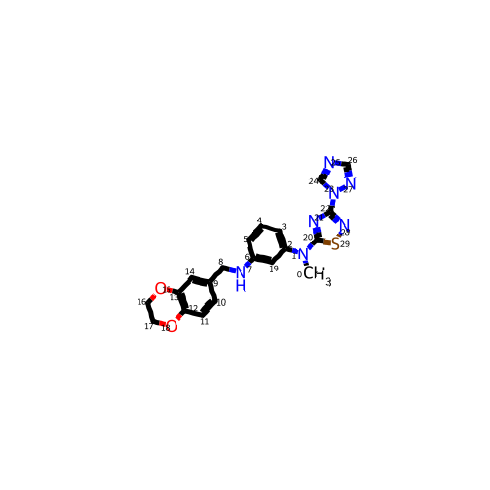 CN(c1cccc(NCc2ccc3c(c2)OCCO3)c1)c1nc(-n2cncn2)ns1